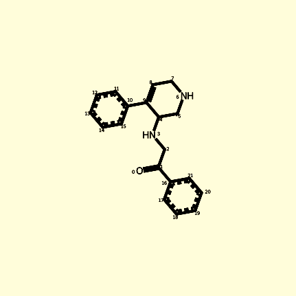 O=C(CNC1[C]NCC=C1c1ccccc1)c1ccccc1